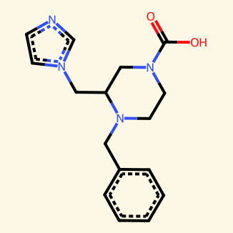 O=C(O)N1CCN(Cc2ccccc2)C(Cn2ccnc2)C1